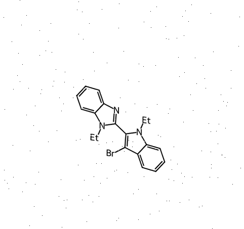 CCn1c(-c2c(Br)c3ccccc3n2CC)nc2ccccc21